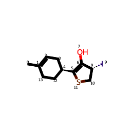 CC1=CC[C@@H](C2=C(O)[C@H](I)CS2)CC1